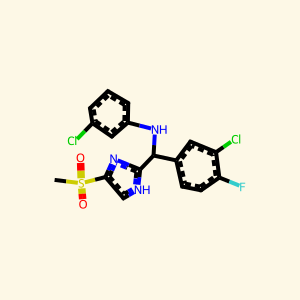 CS(=O)(=O)c1c[nH]c(C(Nc2cccc(Cl)c2)c2ccc(F)c(Cl)c2)n1